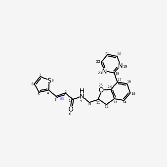 O=C(/C=C/c1cccs1)NCC1Cc2cccc(-c3ncccn3)c2O1